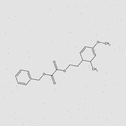 COC1=CC(C)C(CCOC(=O)C(=O)OCc2ccccc2)C=C1